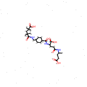 CC(CCC(=O)O)NC(=O)CCC(NC(=O)C1CCC(CNC(=O)C(C)(C)CC(C)(C)C(=O)O)CC1)C(=O)O